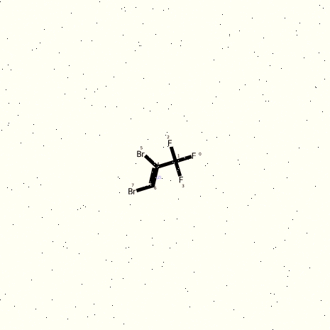 FC(F)(F)/C(Br)=C/Br